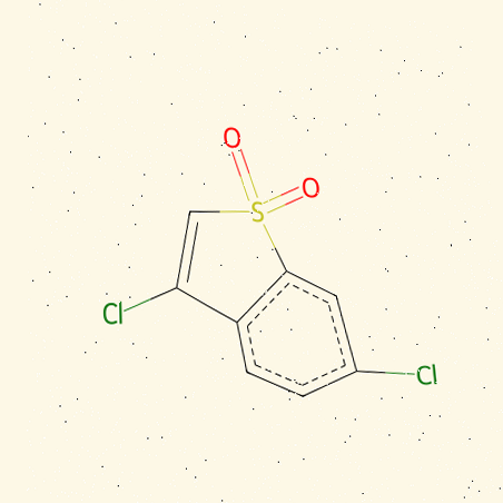 O=S1(=O)C=C(Cl)c2ccc(Cl)cc21